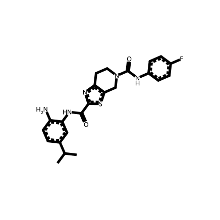 CC(C)c1ccc(N)c(NC(=O)c2nc3c(s2)CN(C(=O)Nc2ccc(F)cc2)CC3)c1